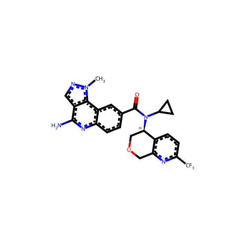 Cn1ncc2c(N)nc3ccc(C(=O)N(C4CC4)[C@@H]4COCc5nc(C(F)(F)F)ccc54)cc3c21